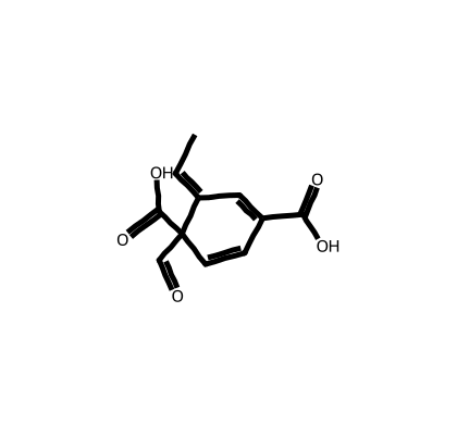 CC=C1C=C(C(=O)O)C=CC1(C=O)C(=O)O